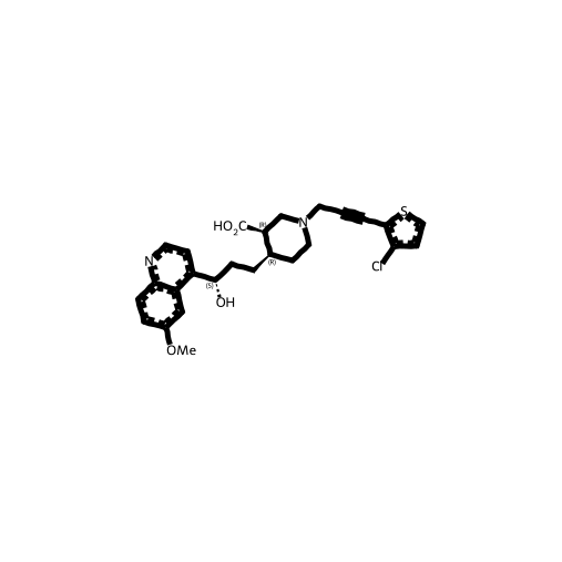 COc1ccc2nccc([C@@H](O)CC[C@@H]3CCN(CC#Cc4sccc4Cl)C[C@@H]3C(=O)O)c2c1